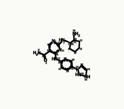 NC(=O)c1cnc(N[C@@H]2CCCC[C@@H]2N)nc1Nc1ccc(N2C=CNN2)cc1